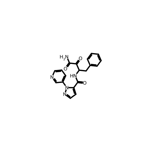 NC(=O)C(=O)C(Cc1ccccc1)NC(=O)c1ccnn1-c1cccnc1